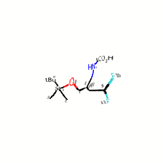 CC(C)(C)[Si](C)(C)OC[C@@H](NC(=O)O)C(F)F